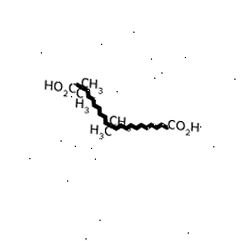 CC(C)(CCCCCCCCCCCC(=O)O)CCCCCCCCC(C)(C)CC(=O)O